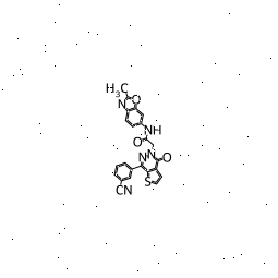 Cc1nc2ccc(NC(=O)Cn3nc(-c4cccc(C#N)c4)c4sccc4c3=O)cc2o1